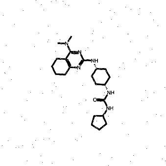 CN(C)c1nc(N[C@H]2CC[C@@H](NC(=O)NC3CCCC3)CC2)nc2c1CCCC2